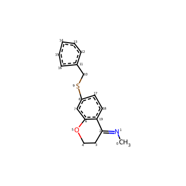 C/N=C1\CCOc2cc(SCc3ccccc3)ccc21